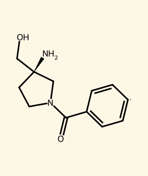 N[C@]1(CO)CCN(C(=O)c2cc[c]cc2)C1